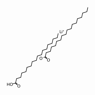 CCCCCCCCCCCCCCCCCC(=O)O.CCCCCCCCCCCCCCCCCC(=O)[O-].[Li+]